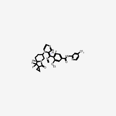 C=N/C(=C1/C(N)=NC=CN1C1CC[C@@H]2N(C1)C(=O)C1(CC1)C2(F)F)c1c(F)cc(C(=O)Nc2cc(C(F)(F)F)ccn2)cc1OCC